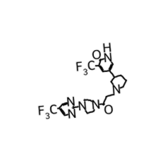 O=C(CCN1CCCC(c2c[nH]c(=O)c(C(F)(F)F)c2)C1)N1CCN(c2ncc(C(F)(F)F)cn2)CC1